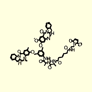 COc1cc2c(cc1OCc1cc(COc3cc4c(cc3C)C(=O)N3c5ccccc5C[C@H]3CN4C)cc(NC(=O)C(C)NC(=O)C(C)NC(=O)CCCCC(=O)NCCN3C(=O)C=CC3=O)c1)N=C[C@@H]1Cc3ccccc3N1C2=O